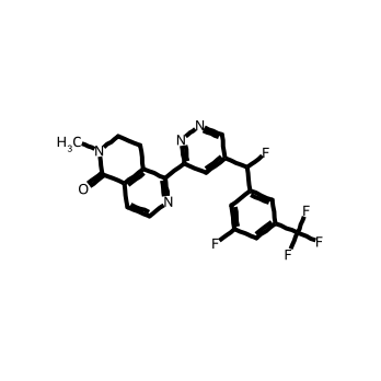 CN1CCc2c(ccnc2-c2cc(C(F)c3cc(F)cc(C(F)(F)F)c3)cnn2)C1=O